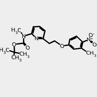 Cc1cc(OCCc2cccc(N(C)C(=O)OC(C)(C)C)n2)ccc1[N+](=O)[O-]